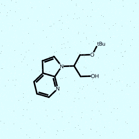 CC(C)(C)OCC(CO)n1ccc2cccnc21